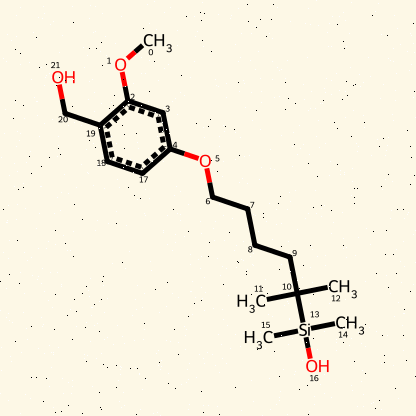 COc1cc(OCCCCC(C)(C)[Si](C)(C)O)ccc1CO